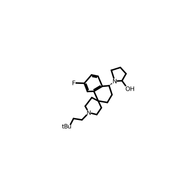 CC(C)(C)CCN1CCC2(CC[C@@H](N3CCCC3O)c3ccc(F)cc32)CC1